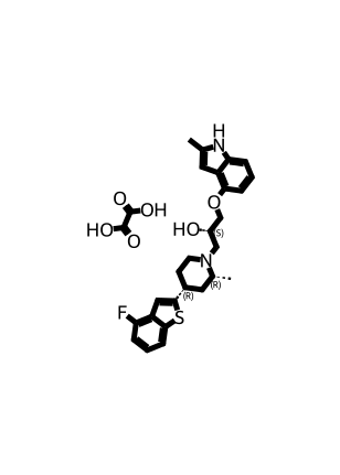 Cc1cc2c(OC[C@@H](O)CN3CC[C@@H](c4cc5c(F)cccc5s4)C[C@H]3C)cccc2[nH]1.O=C(O)C(=O)O